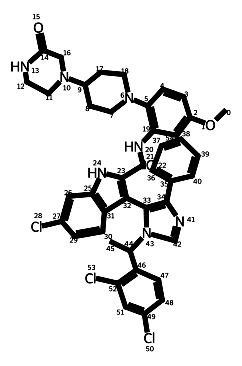 COc1ccc(N2CCC(N3CCNC(=O)C3)CC2)c(NC(=O)c2[nH]c3cc(Cl)ccc3c2-c2c(-c3ccccc3)ncn2C(C)c2ccc(Cl)cc2Cl)c1